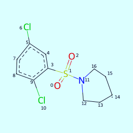 O=S(=O)(c1cc(Cl)ccc1Cl)N1CC[CH]CC1